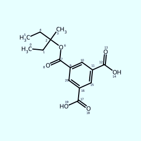 CCC(C)(CC)OC(=O)c1cc(C(=O)O)cc(C(=O)O)c1